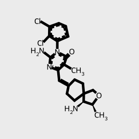 Cc1c(C=C2CCC3(CC2)CO[C@@H](C)[C@H]3N)nc(N)n(-c2cccc(Cl)c2Cl)c1=O